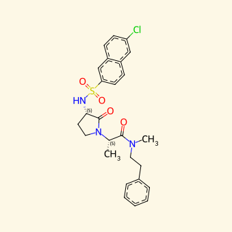 C[C@@H](C(=O)N(C)CCc1ccccc1)N1CC[C@H](NS(=O)(=O)c2ccc3cc(Cl)ccc3c2)C1=O